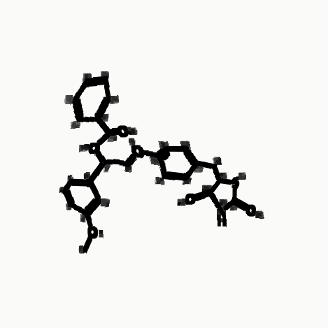 COc1cccc(C(COc2ccc(CC3SC(=O)NC3=O)cc2)OC(=O)c2ccccc2)c1